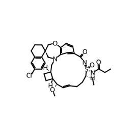 CCC(=O)N[S@@]1(=O)=NC(=O)c2ccc3c(c2)N(C[C@@H]2CC[C@H]2[C@@H](OC)/C=C/CC[C@H]1CC)C[C@@]1(CCCc2cc(Cl)ccc21)CO3